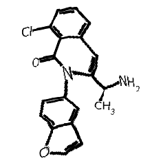 C[C@H](N)c1cc2cccc(Cl)c2c(=O)n1-c1ccc2occc2c1